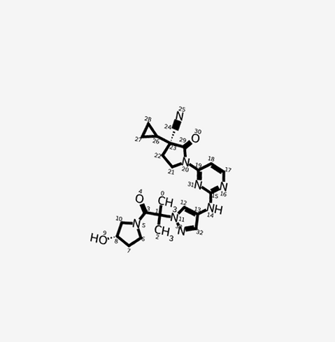 CC(C)(C(=O)N1CC[C@H](O)C1)n1cc(Nc2nccc(N3CC[C@@](C#N)(C4CC4)C3=O)n2)cn1